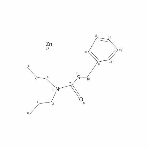 CCCN(CCC)C(=O)SCc1ccccc1.[Zn]